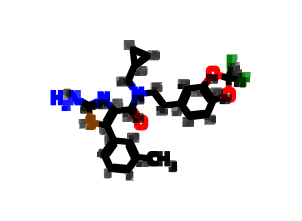 Cc1cccc(-c2sc(N)nc2C(=O)N(CCc2ccc3c(c2)OC(F)(F)O3)CC2CC2)c1